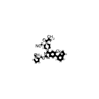 C=C(F)C(=O)N1CCN(c2nc(OC[C@@H]3CCCN3C)nc3cc(-c4cccc5ccsc45)c(Cl)cc23)C[C@@H]1CC#N